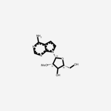 CO[C@H]1C(O)[C@@H](CO)O[C@H]1n1ccc2c(N)ncnc21